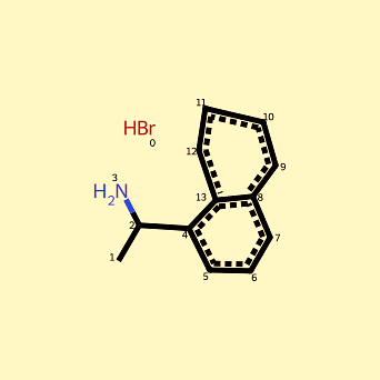 Br.CC(N)c1cccc2ccccc12